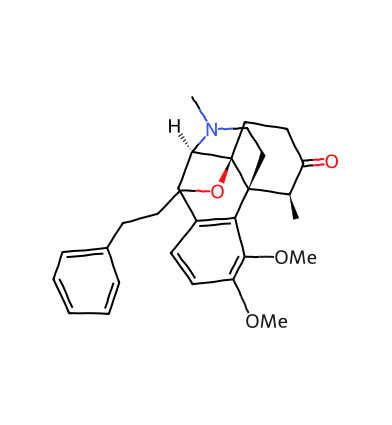 COc1ccc2c(c1OC)[C@]13CCN(C)[C@H](C2)[C@]1(OCCCc1ccccc1)CCC(=O)[C@H]3C